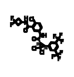 O=C(NC1CC(F)(F)C1)c1cc(NC(=O)[C@@H]2[C@@H](c3cc(C(F)(F)F)cc(C(F)(F)F)c3)C2(Cl)Cl)ccc1Cl